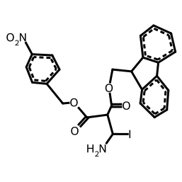 NC(I)C(C(=O)OCc1ccc([N+](=O)[O-])cc1)C(=O)OCC1c2ccccc2-c2ccccc21